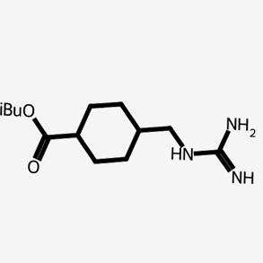 CC(C)COC(=O)C1CCC(CNC(=N)N)CC1